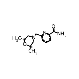 C[C@@H]1CN(Cc2cccc(C(N)=O)n2)C[C@@H](C)O1